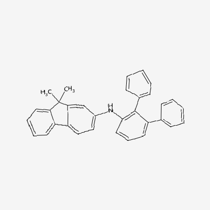 CC1(C)c2ccccc2-c2ccc(Nc3cccc(-c4ccccc4)c3-c3ccccc3)cc21